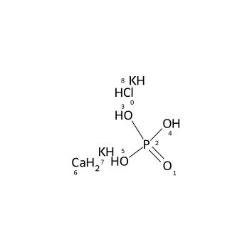 Cl.O=P(O)(O)O.[CaH2].[KH].[KH]